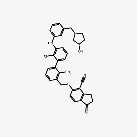 Cc1c(COc2ccc3c(c2C#N)CCC3=O)cccc1-c1cccc(Nc2cc(CN3CC[C@@H](O)C3)ccn2)c1Cl